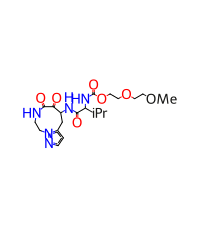 COCCOCCOC(=O)NC(C(=O)NC1Cc2ccnn2CCNC(=O)C1=O)C(C)C